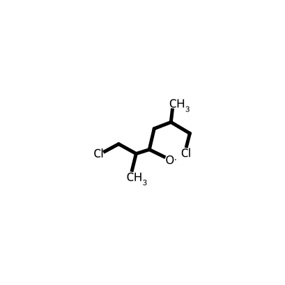 CC(CCl)CC([O])C(C)CCl